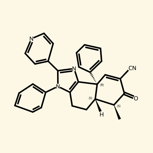 C[C@@H]1C(=O)C(C#N)=C[C@]2(c3ccccc3)c3nc(-c4ccncc4)n(-c4ccccc4)c3CC[C@@H]12